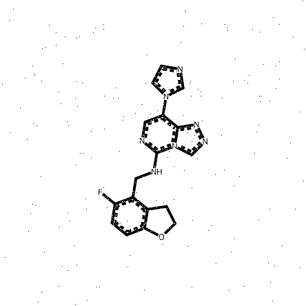 Fc1ccc2c(c1CNc1ncc(-n3ccnc3)c3nncn13)CCO2